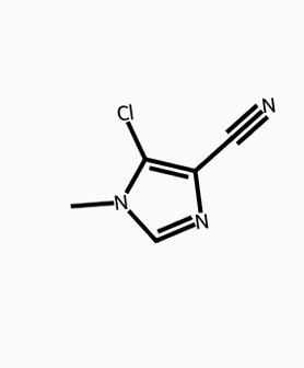 Cn1cnc(C#N)c1Cl